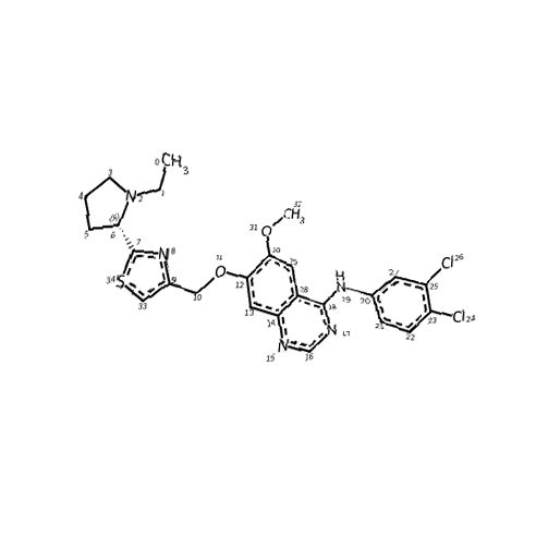 CCN1CCC[C@H]1c1nc(COc2cc3ncnc(Nc4ccc(Cl)c(Cl)c4)c3cc2OC)cs1